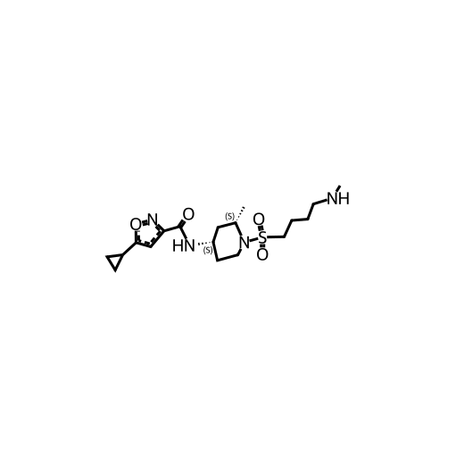 CNCCCCS(=O)(=O)N1CC[C@H](NC(=O)c2cc(C3CC3)on2)C[C@@H]1C